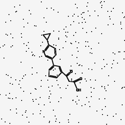 O=C(O)CC(=O)c1cccc(-c2ccc(C3CC3)nc2)c1